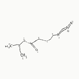 CC(C)OC(=O)CCCN=[N+]=[N-]